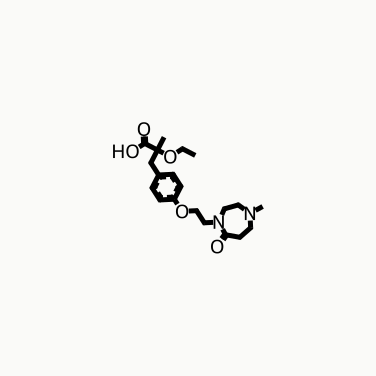 CCOC(C)(Cc1ccc(OCCN2CCN(C)CCC2=O)cc1)C(=O)O